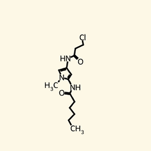 CCCCCC(=O)Nc1cc(NC(=O)CCCl)cn1C